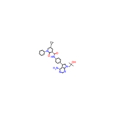 CC(C)(O)Cn1cc(-c2ccc(NC(=O)c3cc(C4CC4)cn(-c4ccccc4)c3=O)cc2)c2c(N)ncnc21